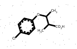 CC(Oc1ccc(Cl)cc1)C(C)C(=O)O